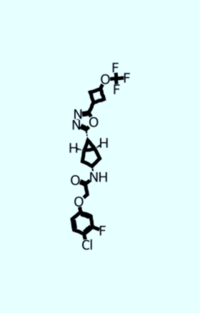 O=C(COc1ccc(Cl)c(F)c1)N[C@@H]1C[C@@H]2[C@H](C1)[C@H]2c1nnc(C2CC(OC(F)(F)F)C2)o1